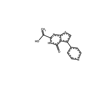 C=C(O)c1nc2scc(-c3ccncc3)c2c(=O)[nH]1